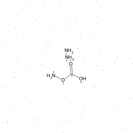 N.N.NOC(=O)O